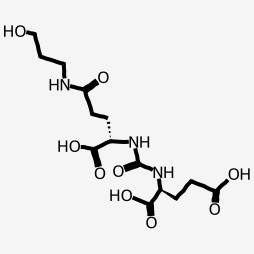 O=C(O)CC[C@H](NC(=O)N[C@@H](CCC(=O)NCCCO)C(=O)O)C(=O)O